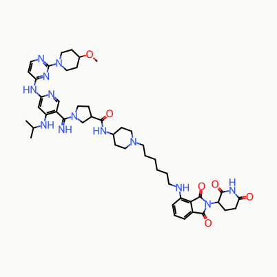 COC1CCN(c2nccc(Nc3cc(NC(C)C)c(C(=N)N4CCC(C(=O)NC5CCN(CCCCCCNc6cccc7c6C(=O)N(C6CCC(=O)NC6=O)C7=O)CC5)C4)cn3)n2)CC1